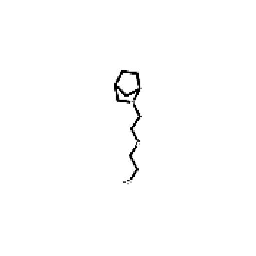 OCCOCCN1CC2CCC1C2